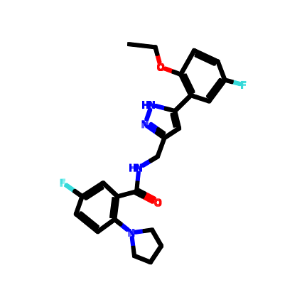 CCOc1ccc(F)cc1-c1cc(CNC(=O)c2cc(F)ccc2N2CCCC2)n[nH]1